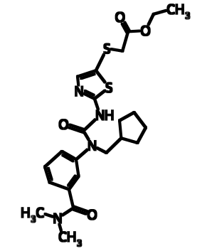 CCOC(=O)CSc1cnc(NC(=O)N(CC2CCCC2)c2cccc(C(=O)N(C)C)c2)s1